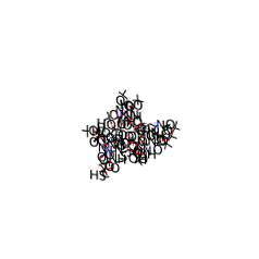 CC(C)(C)OC(=O)N=C(NC(=O)OC(C)(C)C)NC1C[C@@H](C/C(=N/C(=O)OC(C)(C)C)NC(=O)OC(C)(C)C)C(O)[C@@H](O[C@@H]2O[C@H](CSCCOCCS)C(OC3OC(CC/C(=N/C(=O)OC(C)(C)C)NC(=O)OC(C)(C)C)[C@@H](O)C(O)[C@H]3N/C(=N\C(=O)OC(C)(C)C)NC(=O)OC(C)(C)C)[C@@H]2O)[C@@H]1O[C@H]1OC(CN/C(=N\C(=O)OC(C)(C)C)NC(=O)OC(C)(C)C)[C@@H](O)[C@H](O)C1N/C(=N\C(=O)OC(C)(C)C)NC(=O)OC(C)(C)C